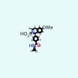 COc1ccc2c(c1)C[C@H](C)N(C(=O)O)[C@H]2c1ccc(C(=O)NC2CC2)cc1